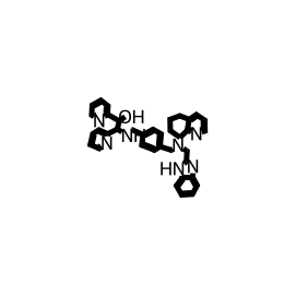 OC(c1ccccn1)C(NCc1ccc(CN(Cc2nc3ccccc3[nH]2)C2CCCc3cccnc32)cc1)c1ccccn1